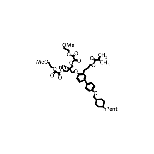 C=C(C)C(=O)OCCCc1cc(-c2ccc(OCC3CCC(CCCCC)CC3)cc2)ccc1OCC(CCC)(COC(=O)C(=O)OCCOC)COC(=O)C(=O)OCCOC